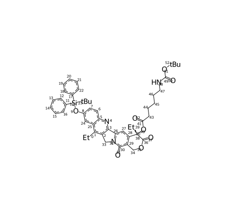 CCc1c2c(nc3ccc(O[Si](c4ccccc4)(c4ccccc4)C(C)(C)C)cc13)-c1cc3c(c(=O)n1C2)COC(=O)[C@@]3(CC)OC(=O)CCCCCNC(=O)OC(C)(C)C